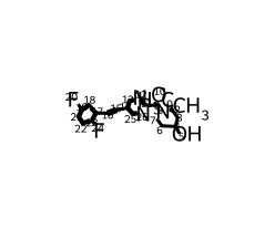 CC1(C)CC(O)CCN1C(=O)c1ncc(C#Cc2cc(F)ccc2F)cn1